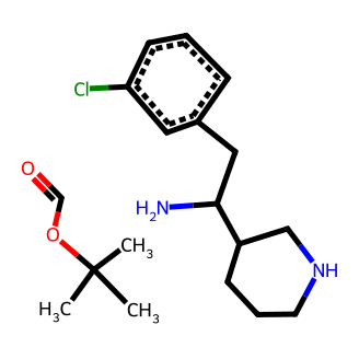 CC(C)(C)OC=O.NC(Cc1cccc(Cl)c1)C1CCCNC1